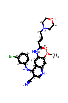 COc1cc2ncc(C#N)c(Nc3cccc(Br)c3)c2cc1NC(=O)C=CCN1CCOCC1